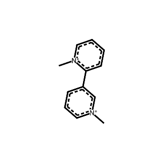 C[n+]1cccc(-c2cccc[n+]2C)c1